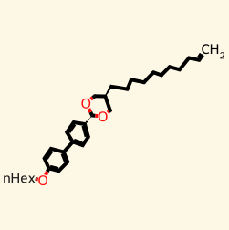 C=CCCCCCCCCC[C@H]1CO[C@H](c2ccc(-c3ccc(OCCCCCC)cc3)cc2)OC1